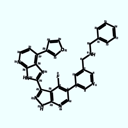 Fc1c(-c2cncc(CNCc3ccccc3)c2)cnc2[nH]nc(-c3nc4c(-c5ccoc5)ccnc4[nH]3)c12